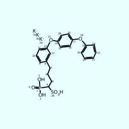 O=P(O)(O)C(CCCc1cccc(Oc2ccc(Oc3ccccc3)cc2)c1)S(=O)(=O)O.[K].[K].[K]